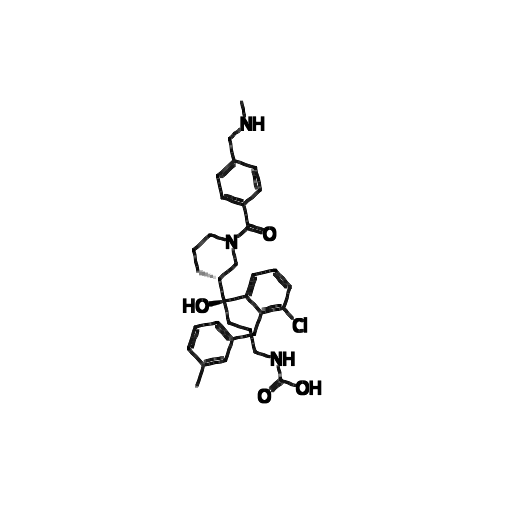 CNCc1ccc(C(=O)N2CCC[C@@H]([C@@](O)(CCCNC(=O)O)c3cccc(Cl)c3Cc3cccc(C)c3)C2)cc1